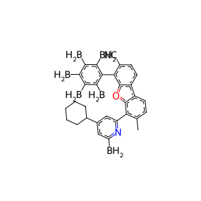 Bc1cc(C2CCCCC2)cc(-c2c(C)ccc3c2oc2c(-c4c(B)c(B)c(B)c(B)c4B)c(C#N)ccc23)n1